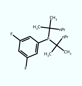 CCCC(C)(C)P(c1cc(F)cc(F)c1)C(C)(C)CCC